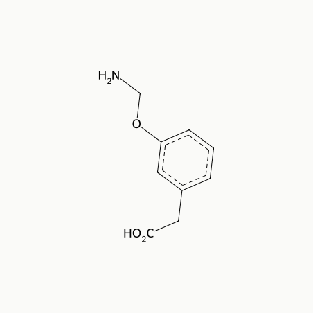 NCOc1cccc(CC(=O)O)c1